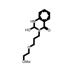 COCCOCCCN1C(=O)c2ccccc2NC1O